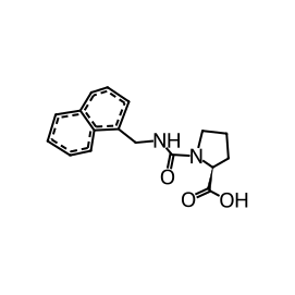 O=C(O)[C@@H]1CCCN1C(=O)NCc1cccc2ccccc12